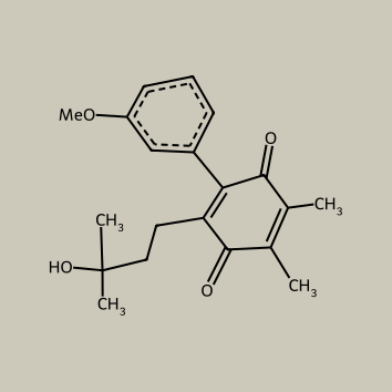 COc1cccc(C2=C(CCC(C)(C)O)C(=O)C(C)=C(C)C2=O)c1